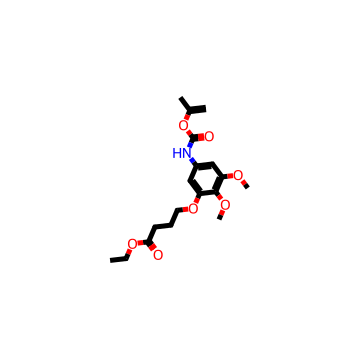 C=C(C)OC(=O)Nc1cc(OC)c(OC)c(OCCCC(=O)OCC)c1